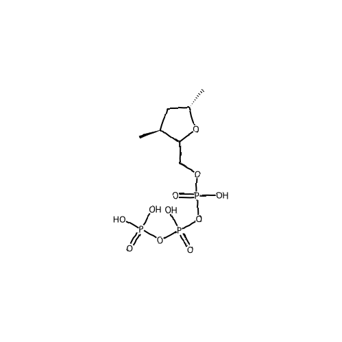 C[C@H]1C[C@H](C)C(COP(=O)(O)OP(=O)(O)OP(=O)(O)O)O1